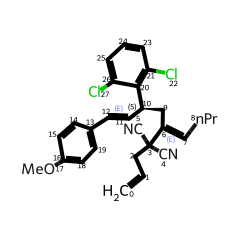 C=CCC(C#N)(C#N)/C(=C/CCC)C[C@@H](/C=C/c1ccc(OC)cc1)c1c(Cl)cccc1Cl